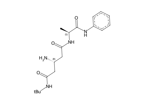 C[C@H](NC(=O)C[C@@H](N)CC(=O)NC(C)(C)C)C(=O)Nc1ccccc1